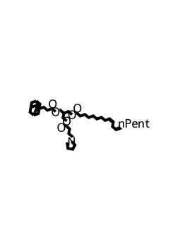 CCCCC/C=C\C/C=C\CCCCCCCC(=O)OCC(COC(=O)CCCN1CCCC1)COC(=O)CCC12CC3CC(CC(C3)C1)C2